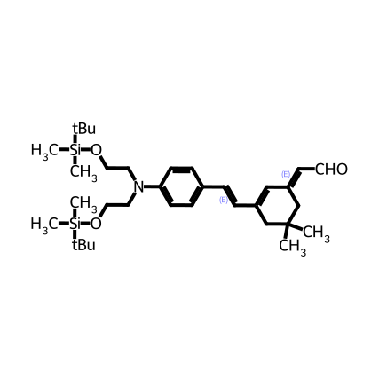 CC1(C)CC(/C=C/c2ccc(N(CCO[Si](C)(C)C(C)(C)C)CCO[Si](C)(C)C(C)(C)C)cc2)=CC(=C/C=O)/C1